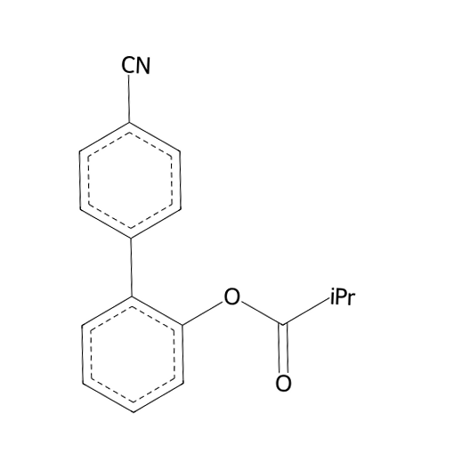 CC(C)C(=O)Oc1ccccc1-c1ccc(C#N)cc1